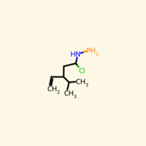 C=CC(CC(Cl)NP)C(C)C